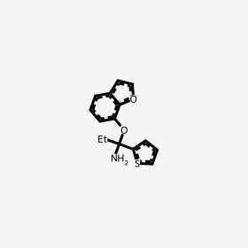 CCC(N)(Oc1cccc2ccoc12)c1cccs1